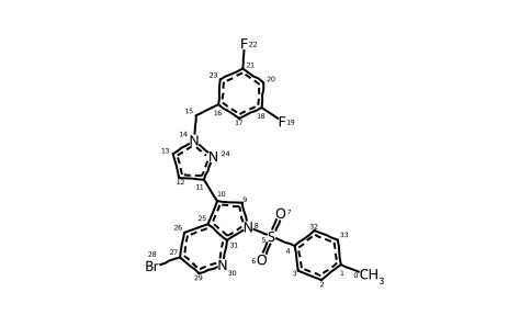 Cc1ccc(S(=O)(=O)n2cc(-c3ccn(Cc4cc(F)cc(F)c4)n3)c3cc(Br)cnc32)cc1